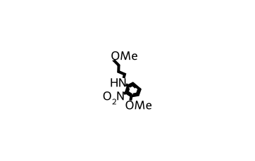 COCCCCNc1cccc(OC)c1[N+](=O)[O-]